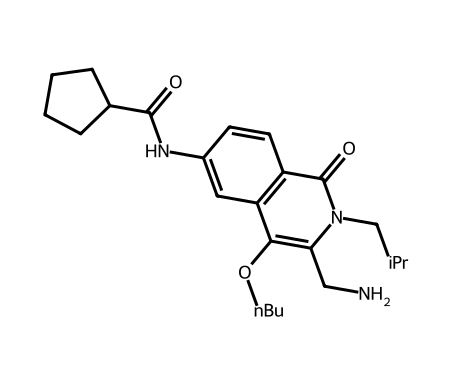 CCCCOc1c(CN)n(CC(C)C)c(=O)c2ccc(NC(=O)C3CCCC3)cc12